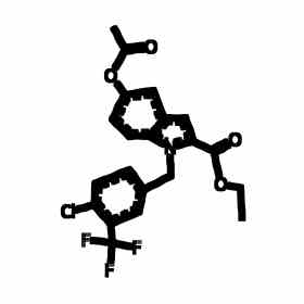 CCOC(=O)c1cc2cc(OC(C)=O)ccc2n1Cc1ccc(Cl)c(C(F)(F)F)c1